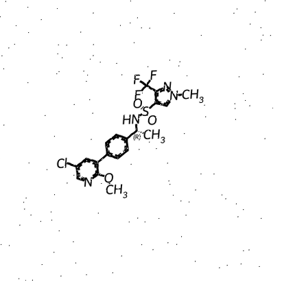 COc1ncc(Cl)cc1-c1ccc([C@@H](C)NS(=O)(=O)c2cn(C)nc2C(F)(F)F)cc1